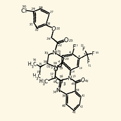 CC(C)Oc1cc(F)c(C(F)(F)F)cc1-n1c(CN2CCN(C(=O)COc3ccc(Cl)cc3)C[C@@H]2C(C)C)nc2ccccc2c1=O